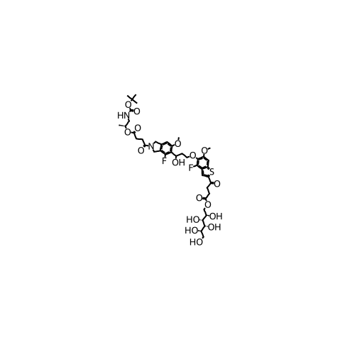 COc1cc2sc(C(=O)CCC(=O)OC[C@@H](O)[C@@H](O)[C@H](O)[C@H](O)CO)cc2c(F)c1OCCC(O)c1c(OC)cc2c(c1F)CN(C(=O)CCC(=O)O[C@@H](C)CNC(=O)OC(C)(C)C)C2